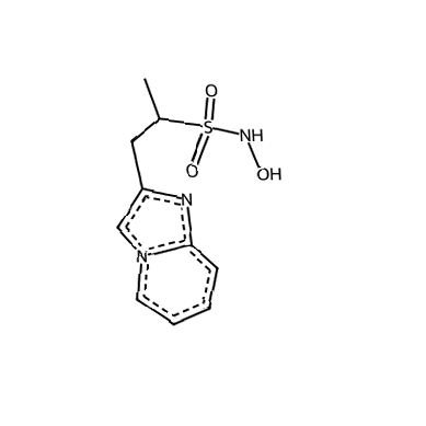 CC(Cc1cn2ccccc2n1)S(=O)(=O)NO